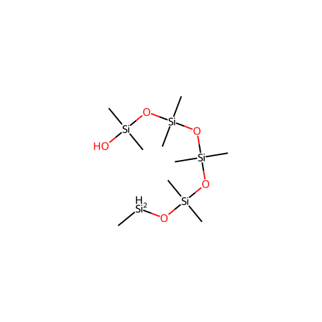 C[SiH2]O[Si](C)(C)O[Si](C)(C)O[Si](C)(C)O[Si](C)(C)O